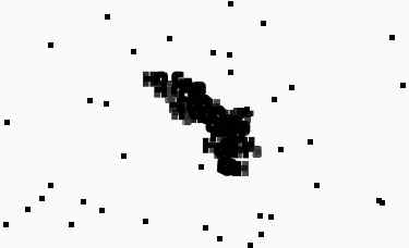 CC(C)C1=C2[C@H]3CC[C@@H]4[C@@]5(C)CC[C@H](OC(=O)[C@H]6C[C@@H](C(=O)O)C6(C)C)C(C)(C)[C@@H]5CC[C@@]4(C)[C@]3(C)CC[C@@]2(NC(=O)C(C)(C)NC(=O)[C@H]2CCCNC2)CC1=O